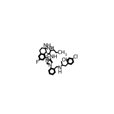 CCCC(N[C@@]1(N)CCc2cc(F)cc(F)c2C1)C(=O)Nc1cn(-c2ccccc2CNC(CO)Cc2ccc(Cl)cc2)cn1